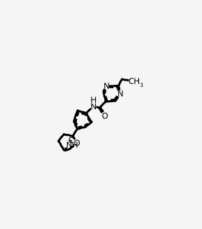 CCc1ncc(C(=O)Nc2ccc(C34CCC(CO3)NC4)cc2)cn1